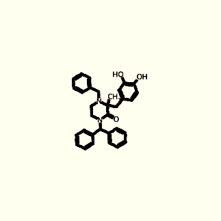 CC1(Cc2ccc(O)c(O)c2)C(=O)N(C(c2ccccc2)c2ccccc2)CCN1Cc1ccccc1